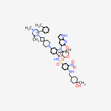 Cc1ccccc1[C@@H]1CN(C)C[C@H](C)N1C1CC2(CCN(c3ccc(C(=O)NS(=O)(=O)c4ccc(NCC5CCC(C)(O)CC5)c([N+](=O)[O-])c4)c(N4c5cc6cc[nH]c6nc5O[C@H]5COCC[C@@H]54)c3)CC2)C1